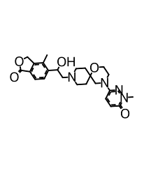 Cc1c(C(O)CN2CCC3(CC2)CN(c2ccc(=O)n(C)n2)CCO3)ccc2c1COC2=O